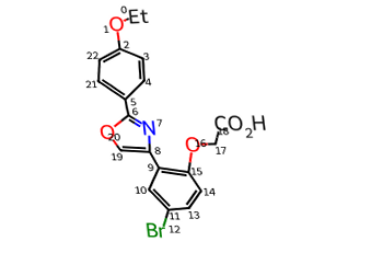 CCOc1ccc(-c2nc(-c3cc(Br)ccc3OCC(=O)O)co2)cc1